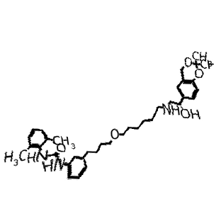 Cc1cccc(C)c1NC(=O)Nc1cccc(CCCCOCCCCCCNC[C@@H](O)c2ccc3c(c2)COC(C)(C)O3)c1